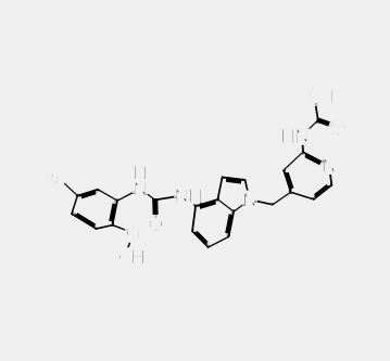 COc1ccc(Br)cc1NC(=O)Nc1cccc2c1ccn2Cc1ccnc(NC(C)=O)c1